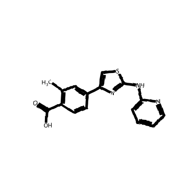 Cc1cc(-c2csc(Nc3ccccn3)n2)ccc1C(=O)O